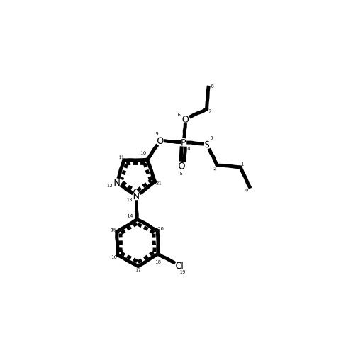 CCCSP(=O)(OCC)Oc1cnn(-c2cccc(Cl)c2)c1